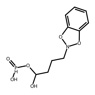 O=[PH](O)OC(O)CCCN1Oc2ccccc2O1